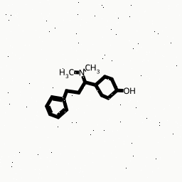 CN(C)C(CCc1ccccc1)C1CCC(O)CC1